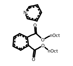 CCCCCCCCOC(=O)c1ccccc1C(=O)OCCCCCCCC.c1ccncc1